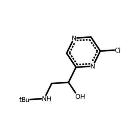 CC(C)(C)NCC(O)c1cncc(Cl)n1